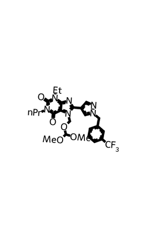 CCCn1c(=O)c2c(nc(-c3cnn(Cc4cccc(C(F)(F)F)c4)c3)n2COC(OC)OC)n(CC)c1=O